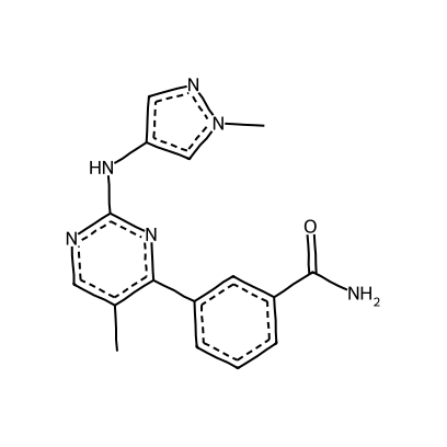 Cc1cnc(Nc2cnn(C)c2)nc1-c1cccc(C(N)=O)c1